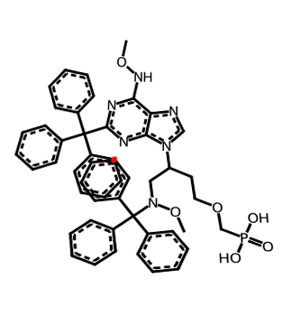 CONc1nc(C(c2ccccc2)(c2ccccc2)c2ccccc2)nc2c1ncn2C(CCOCP(=O)(O)O)CN(OC)C(c1ccccc1)(c1ccccc1)c1ccccc1